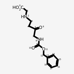 O=C(O)CNCCC(=O)CNC(=O)OCc1ccccc1